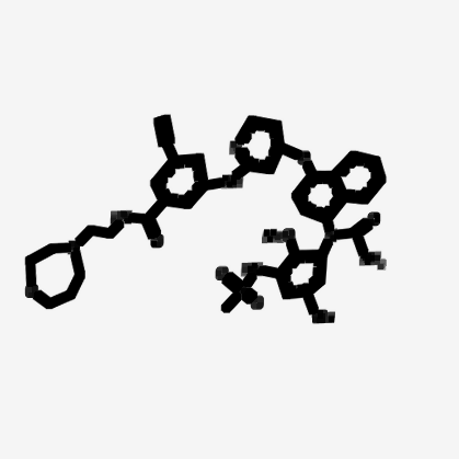 C#Cc1cc(Nc2cc(Oc3ccc(N(C(N)=O)c4cc(C(C)(C)C)cc(NS(C)(=O)=O)c4OC)c4ccccc34)ccn2)cc(C(=O)NCCN2CCCOCC2)c1